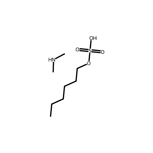 CCCCCCOS(=O)(=O)O.CNC